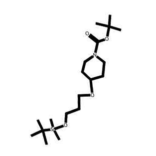 CC(C)(C)OC(=O)N1CCC(OCCCO[Si](C)(C)C(C)(C)C)CC1